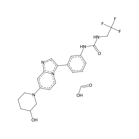 O=C(NCC(F)(F)F)Nc1cccc(-c2cnc3cc(N4CCCC(O)C4)ccn23)c1.O=CO